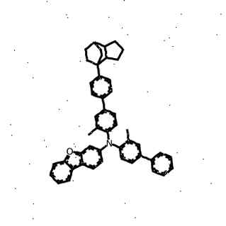 Cc1cc(-c2ccccc2)ccc1N(c1ccc2c(c1)oc1ccccc12)c1ccc(-c2ccc(C34CCC(CC3)C3CCCC34)cc2)cc1C